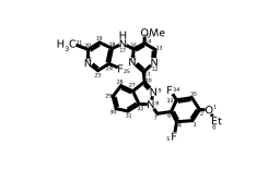 CCOc1cc(F)c(Cn2nc(-c3ncc(OC)c(Nc4cc(C)ncc4F)n3)c3ccccc32)c(F)c1